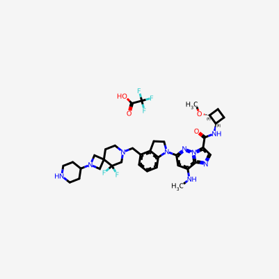 CNc1cc(N2CCc3c(CN4CCC5(CN(C6CCNCC6)C5)C(F)(F)C4)cccc32)nn2c(C(=O)N[C@@H]3CC[C@H]3OC)cnc12.O=C(O)C(F)(F)F